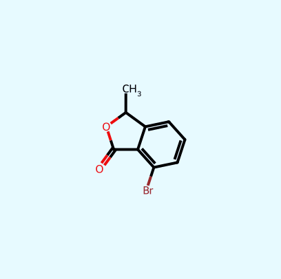 CC1OC(=O)c2c(Br)cccc21